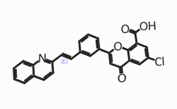 O=C(O)c1cc(Cl)cc2c(=O)cc(-c3cccc(/C=C/c4ccc5ccccc5n4)c3)oc12